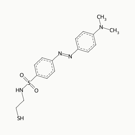 CN(C)c1ccc(N=Nc2ccc(S(=O)(=O)NCCS)cc2)cc1